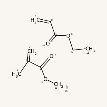 C=C(C)C(=O)OC.C=CC(=O)OCC.[Ti]